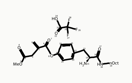 C=C(CC(=O)OC)C(=O)Oc1ccc(C[C@H](N)C(=O)NCCCCCCCC)cc1.O=C(O)C(F)(F)F